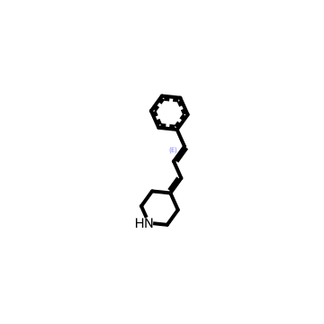 C(/C=C/c1ccccc1)=C1CCNCC1